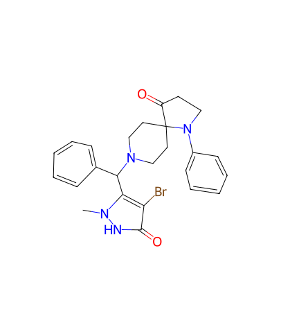 Cn1[nH]c(=O)c(Br)c1C(c1ccccc1)N1CCC2(CC1)C(=O)CCN2c1ccccc1